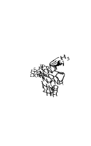 O=C(O)C(F)(F)F.[2H]C([2H])([2H])NC(=O)c1nnc(N2CCN(C(C)C)C2=O)cc1Nc1cccc(-c2ncn(C)n2)c1OC